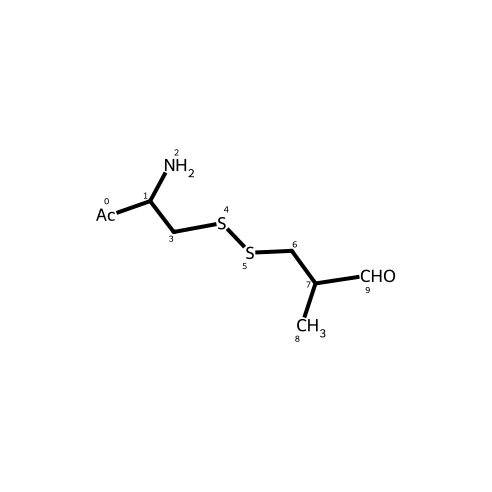 CC(=O)C(N)CSSCC(C)C=O